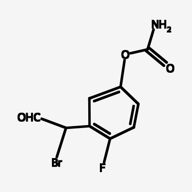 NC(=O)Oc1ccc(F)c(C(Br)C=O)c1